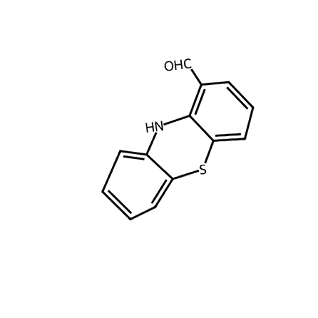 O=Cc1cccc2c1Nc1ccccc1S2